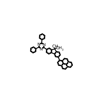 CC1(C)c2ccc(-c3ccc4ccc5cccc6ccc3c4c56)cc2-c2ccc(-c3nc(-c4ccccc4)nc(-c4ccccc4)n3)cc21